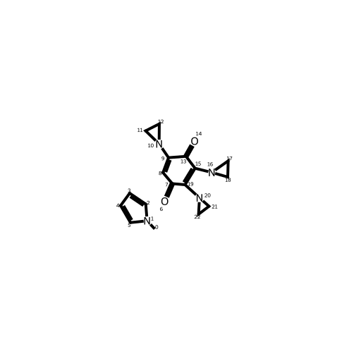 Cn1cccc1.O=C1C=C(N2CC2)C(=O)C(N2CC2)=C1N1CC1